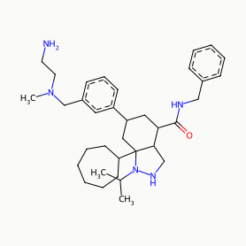 CC(C)N1NCC2C(C(=O)NCc3ccccc3)CC(c3cccc(CN(C)CCN)c3)CC21C1CCCCCC1